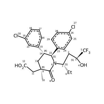 CC[C@@H](C[C@H](O)C(F)(F)F)N1C(=O)[C@@](C)(CC(=O)O)C[C@H](c2cccc(Cl)c2)[C@H]1c1ccc(Cl)cc1